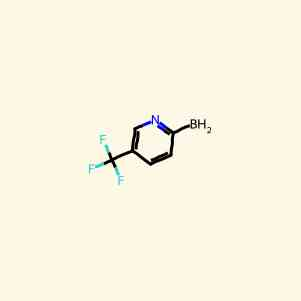 Bc1ccc(C(F)(F)F)cn1